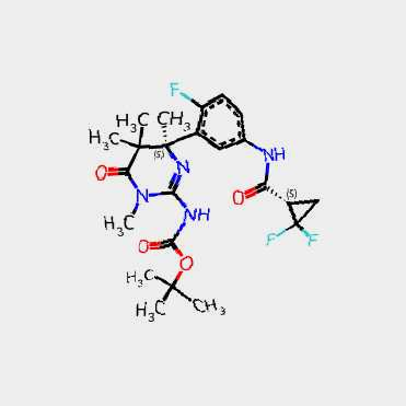 CN1C(=O)C(C)(C)[C@@](C)(c2cc(NC(=O)[C@@H]3CC3(F)F)ccc2F)N=C1NC(=O)OC(C)(C)C